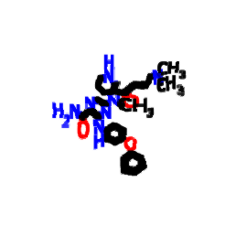 CN(C)C/C=C/C(=O)[C@@]1(N(C)c2cnc(C(N)=O)c(Nc3ccc(Oc4ccccc4)cc3)n2)CCCNC1